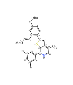 COC=Cc1cc(CC(C)(C)C)ccc1-c1cc2c(C(F)(F)F)cnc(-c3cc(C)cc(C)c3)c2s1